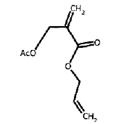 C=CCOC(=O)C(=C)COC(C)=O